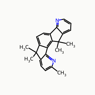 Cc1ccc2c(n1)-c1c(ccc3c1C(C)(C)c1cccnc1-3)C2(C)C